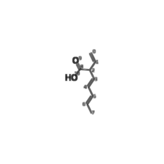 C=CC(C=CC=CC)C(=O)O